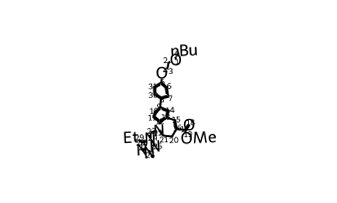 CCCCOCCOc1ccc(-c2ccc3c(c2)C=C(C(=O)OC)CCN3Cn2nnnc2CC)cc1